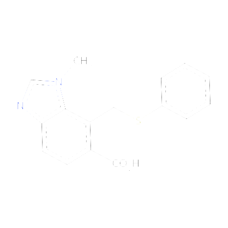 Cn1cnc2ccc(C(=O)O)c(CSc3ccccc3)c21